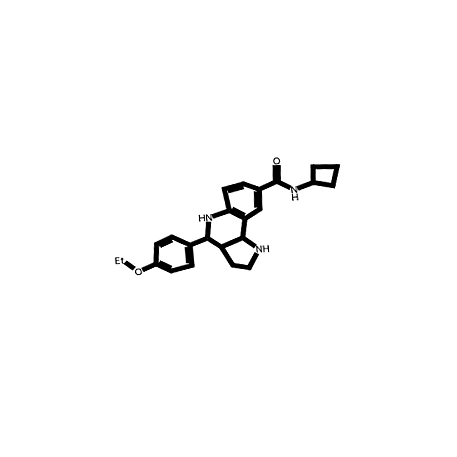 CCOc1ccc(C2Nc3ccc(C(=O)NC4CCC4)cc3C3NCCC23)cc1